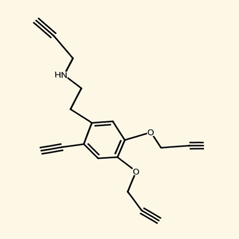 C#CCNCCc1cc(OCC#C)c(OCC#C)cc1C#C